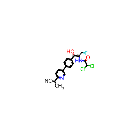 CC(C#N)c1ccc(-c2ccc([C@@H](O)[C@@H](CF)NC(=O)C(Cl)Cl)cc2)cn1